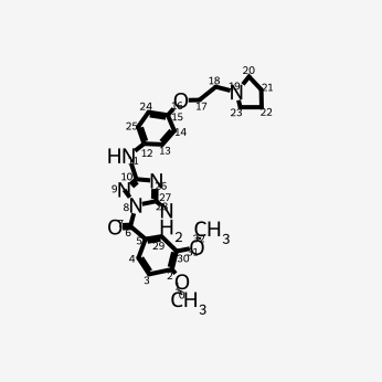 COc1ccc(C(=O)n2nc(Nc3ccc(OCCN4CCCC4)cc3)nc2N)cc1OC